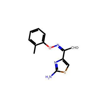 Cc1ccccc1O/N=C(/[C]=O)c1csc(N)n1